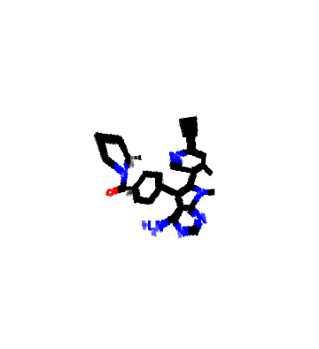 C#Cc1cc(C)c(-c2c(C3=CC[C@H](C(=O)N4CCC[C@@H]4C)CC3)c3c(N)ncnc3n2C)cn1